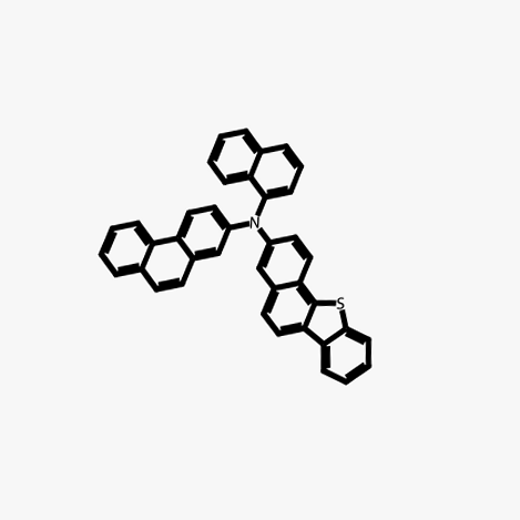 c1ccc2c(N(c3ccc4c(ccc5ccccc54)c3)c3ccc4c(ccc5c6ccccc6sc45)c3)cccc2c1